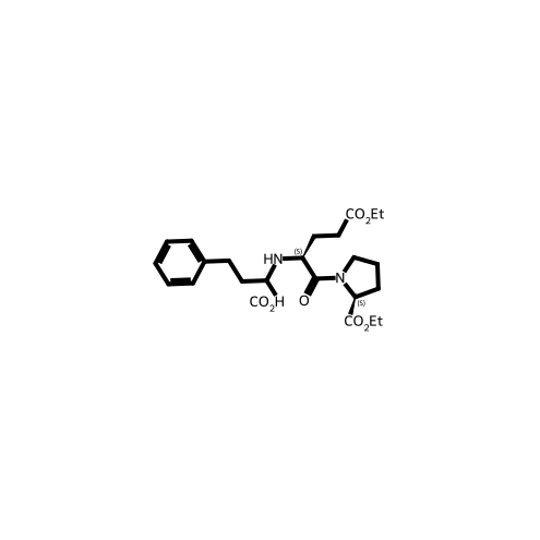 CCOC(=O)CC[C@H](NC(CCc1ccccc1)C(=O)O)C(=O)N1CCC[C@H]1C(=O)OCC